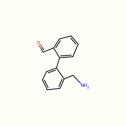 NCc1ccccc1-c1ccccc1C=O